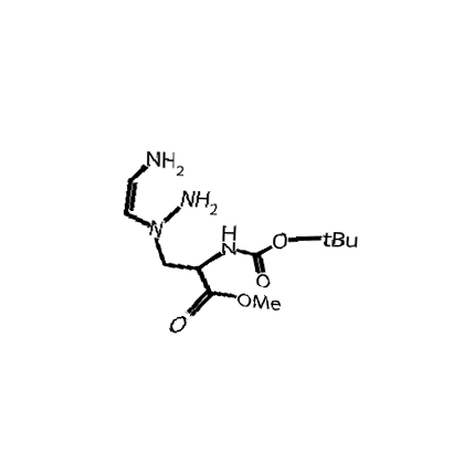 COC(=O)C(CN(N)/C=C\N)NC(=O)OC(C)(C)C